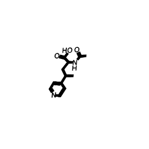 CC(=O)NC(CC(C)c1ccncc1)C(=O)O